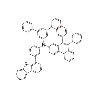 c1ccc(-c2cc(-c3ccccc3)cc(N(c3cccc(-c4cccc5c4sc4ccccc45)c3)c3ccc4c(c3)c(-c3ccccc3)c(-c3ccccc3)c3ccccc34)c2)cc1